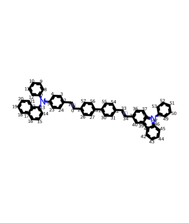 C(=C\c1ccc(N(c2ccccc2)c2cccc3ccccc23)cc1)/c1ccc(-c2ccc(/C=C/c3ccc4c(c3)c3ccccc3n4-c3ccccc3)cc2)cc1